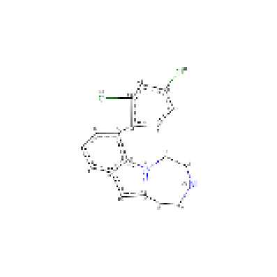 Clc1ccc(-c2cccc3cc4n(c23)CCNCC4)c(Cl)c1